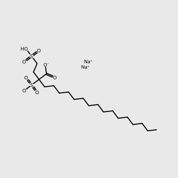 CCCCCCCCCCCCCCCCC(CCS(=O)(=O)O)(C(=O)[O-])S(=O)(=O)[O-].[Na+].[Na+]